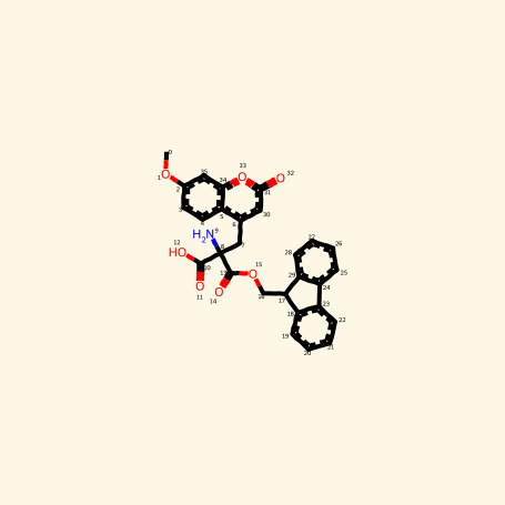 COc1ccc2c(CC(N)(C(=O)O)C(=O)OCC3c4ccccc4-c4ccccc43)cc(=O)oc2c1